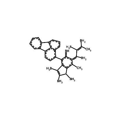 B=c1c(-c2ccc3c4c(cccc24)-c2ccccc2-3)c2c(c(C)/c1=C(B)/C(B)=C(/B)C)C(B)C(B)=C2B